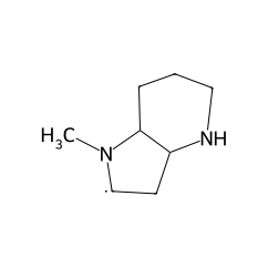 CN1[CH]CC2NCCCC21